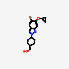 OCC1CCC(n2cc3cc(Br)c(OC4CC4)cc3n2)CC1